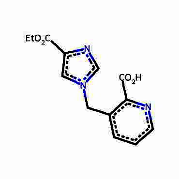 CCOC(=O)c1cn(Cc2cccnc2C(=O)O)cn1